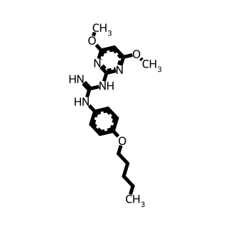 CCCCCOc1ccc(NC(=N)Nc2nc(OC)cc(OC)n2)cc1